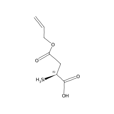 C=CCOC(=O)C[C@H]([SiH3])C(=O)O